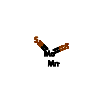 [Mn].[S]=[Mo]=[S]